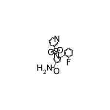 NC(=O)c1cc(-c2ccccc2F)n(S(=O)(=O)c2cccnc2)c1